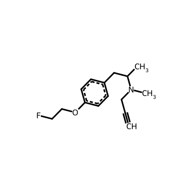 C#CCN(C)C(C)Cc1ccc(OCCF)cc1